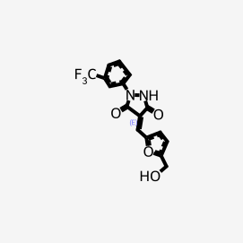 O=C1NN(c2cccc(C(F)(F)F)c2)C(=O)/C1=C/c1ccc(CO)o1